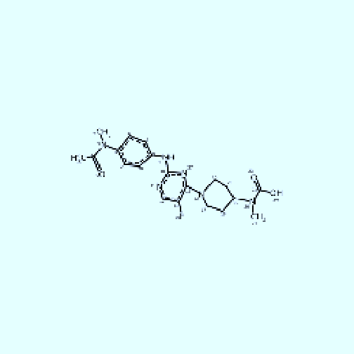 CC(=O)N(C)c1ccc(Nc2ncc(F)c(N3CCC(N(C)C(=O)O)CC3)n2)cc1